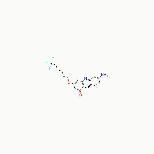 Nc1ccc2cc3c(nc2c1)C=C(OCCCCCC(F)(F)F)CC3=O